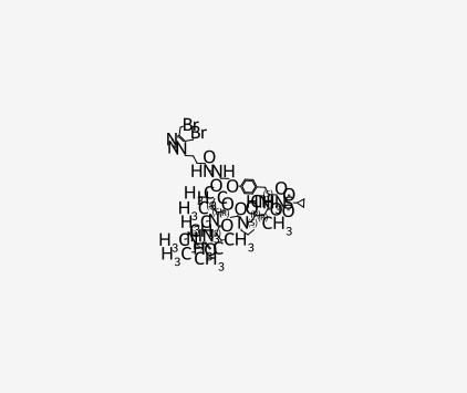 CC[C@H](C)[C@@H]([C@@H](CC(=O)N1CCC[C@H]1[C@H](OC)[C@@H](C)C(=O)N[C@@H](Cc1ccc(OCC(=O)NNC(=O)CCCn2nnc(CBr)c2CBr)cc1)C(=O)NS(=O)(=O)C1CC1)OC)N(C)C(=O)[C@@H](NC(=O)[C@H](C(C)C)N(C)C)C(C)C